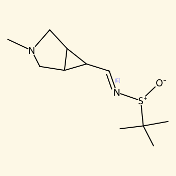 CN1CC2C(/C=N/[S+]([O-])C(C)(C)C)C2C1